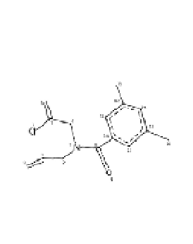 C=CCN(CC(=C)Cl)C(=O)c1cc(C)cc(C)c1